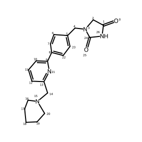 O=C1CN(Cc2ccc(-c3cccc(CN4CCCCC4)n3)cc2)C(=O)N1